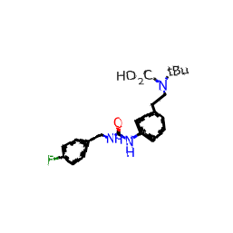 CC(C)(C)N(CCc1cccc(NC(=O)NCc2ccc(F)cc2)c1)C(=O)O